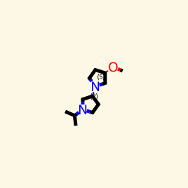 CO[C@H]1CCN([C@@H]2CCN(C(C)C)C2)C1